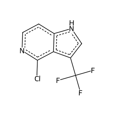 FC(F)(F)c1c[nH]c2ccnc(Cl)c12